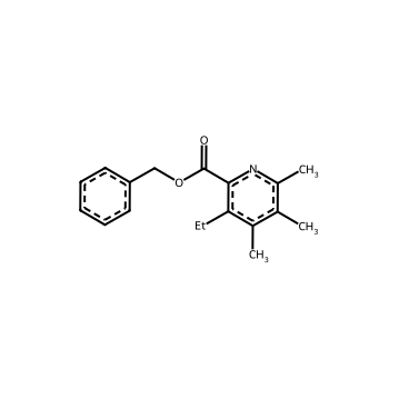 CCc1c(C(=O)OCc2ccccc2)nc(C)c(C)c1C